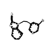 O=c1sc2ccccc2n1Cc1cncc(Br)c1